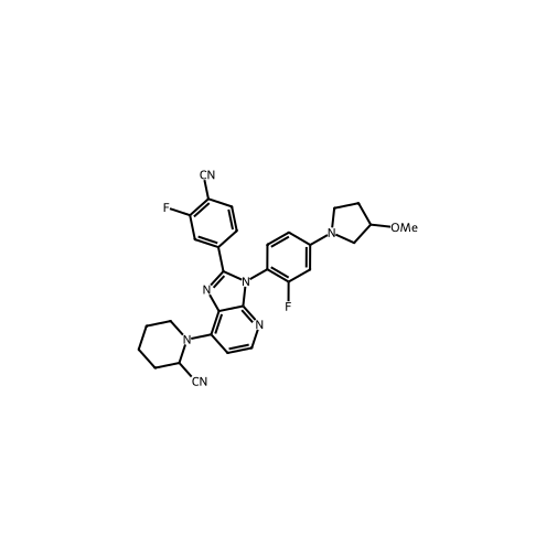 COC1CCN(c2ccc(-n3c(-c4ccc(C#N)c(F)c4)nc4c(N5CCCCC5C#N)ccnc43)c(F)c2)C1